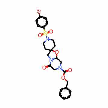 O=C(OCc1ccccc1)N1CC(=O)N2CC3(CCN(S(=O)(=O)c4ccc(Br)cc4)CC3)OC2C1